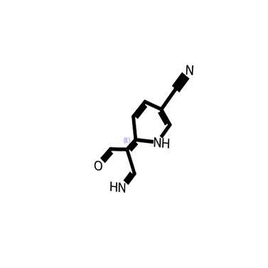 N#CC1=CN/C(=C(\C=N)C=O)C=C1